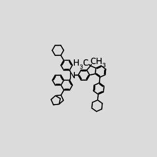 CC1(C)c2cc(N(c3ccc(C4CCCCC4)cc3)c3ccc(C4CC5CCC4C5)c4ccccc34)ccc2-c2c(-c3ccc(C4CCCCC4)cc3)cccc21